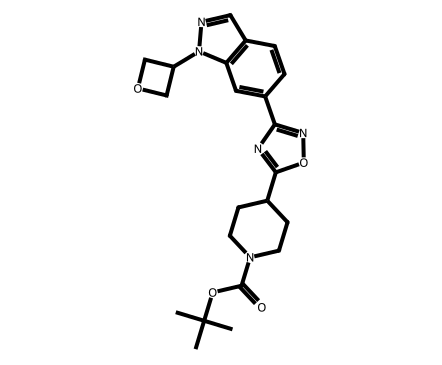 CC(C)(C)OC(=O)N1CCC(c2nc(-c3ccc4cnn(C5COC5)c4c3)no2)CC1